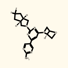 Nc1ncc(-c2cc(N3CC4OC[C@H]43)nc(N3C[C@@H]4CC(F)(F)C[C@@H]4C3)n2)cn1